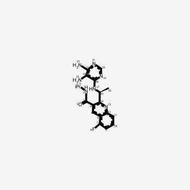 CC(C)NC(=O)c1cc2c(F)cccc2nc1[C@H](C)Nc1ncnc(N)c1N